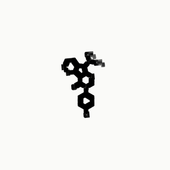 CN(C)c1c2ccnsc-2c2c(=O)n(-c3ccc(Cl)cc3)cnc12